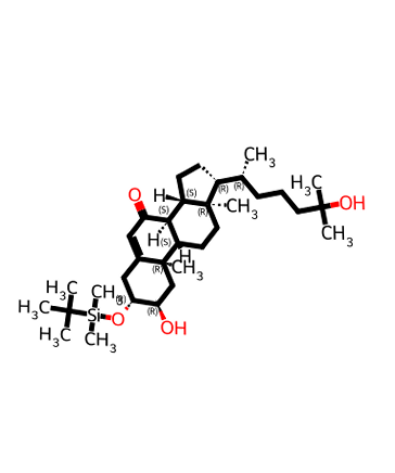 C[C@H](CCCC(C)(C)O)[C@H]1CC[C@H]2[C@@H]3C(=O)C=C4C[C@@H](O[Si](C)(C)C(C)(C)C)[C@H](O)C[C@]4(C)[C@H]3CC[C@]12C